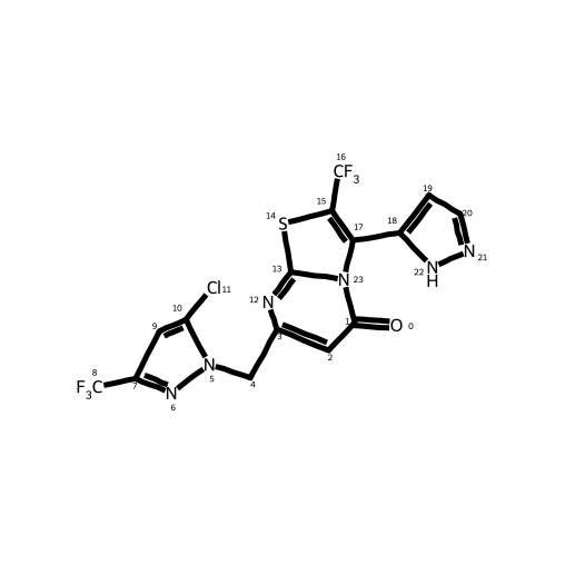 O=c1cc(Cn2nc(C(F)(F)F)cc2Cl)nc2sc(C(F)(F)F)c(-c3ccn[nH]3)n12